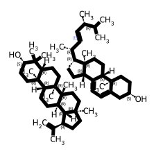 C=C(C)[C@@H]1CC[C@]2(C)CC[C@]3(C)[C@H](CC[C@@H]4[C@@]5(C)CC[C@H](O)C(C)(C)[C@@H]5CC[C@]43C)[C@@H]12.CC(C)[C@@H](C)/C=C/[C@@H](C)[C@H]1CC[C@H]2C3=CC=C4C[C@@H](O)CC[C@]4(C)[C@H]3CC[C@]12C